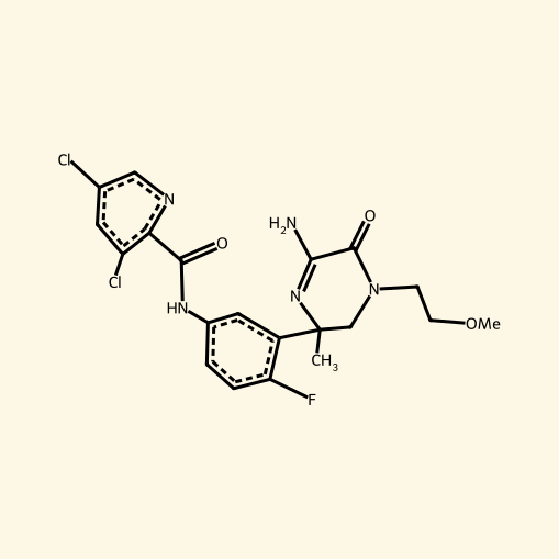 COCCN1CC(C)(c2cc(NC(=O)c3ncc(Cl)cc3Cl)ccc2F)N=C(N)C1=O